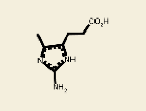 Cc1nc(N)[nH]c1CCC(=O)O